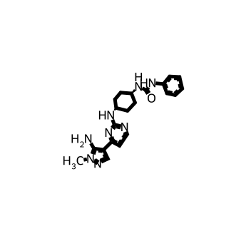 Cn1ncc(-c2ccnc(N[C@H]3CC[C@H](NC(=O)Nc4ccccc4)CC3)n2)c1N